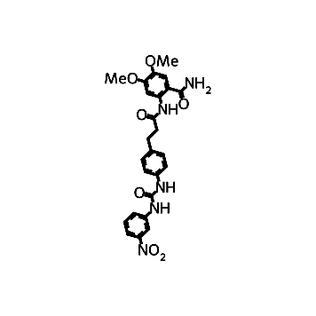 COc1cc(NC(=O)CCc2ccc(NC(=O)Nc3cccc([N+](=O)[O-])c3)cc2)c(C(N)=O)cc1OC